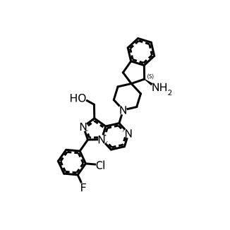 N[C@@H]1c2ccccc2CC12CCN(c1nccn3c(-c4cccc(F)c4Cl)nc(CO)c13)CC2